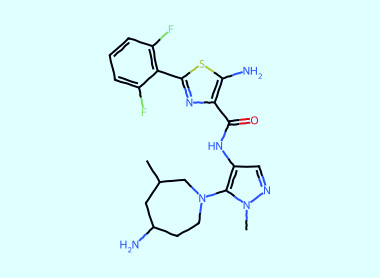 CC1CC(N)CCN(c2c(NC(=O)c3nc(-c4c(F)cccc4F)sc3N)cnn2C)C1